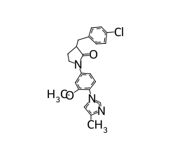 COc1cc(N2CCC(Cc3ccc(Cl)cc3)C2=O)ccc1-n1cnc(C)c1